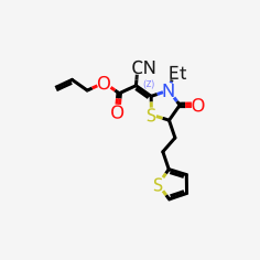 C=CCOC(=O)/C(C#N)=C1\SC(CCc2cccs2)C(=O)N1CC